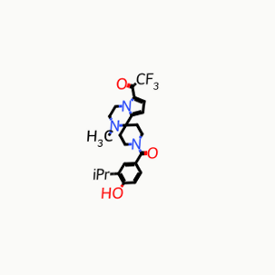 CC(C)c1cc(C(=O)N2CCC3(CC2)c2ccc(C(=O)C(F)(F)F)n2CCN3C)ccc1O